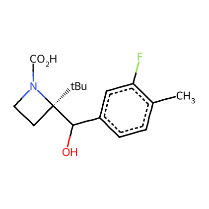 Cc1ccc(C(O)[C@@]2(C(C)(C)C)CCN2C(=O)O)cc1F